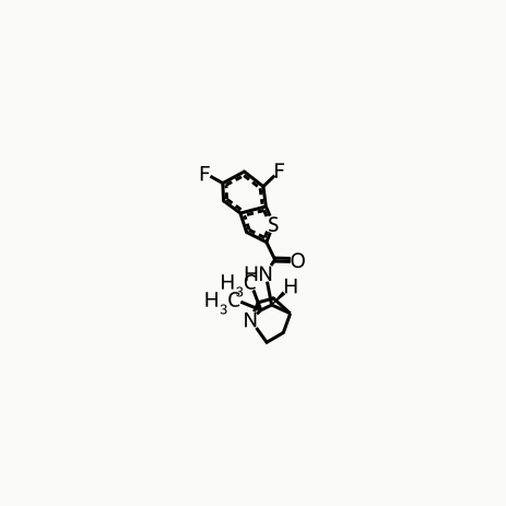 CC1(C)[C@H](NC(=O)c2cc3cc(F)cc(F)c3s2)C2CCN1CC2